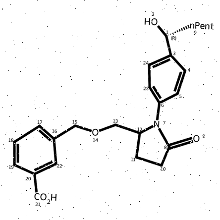 CCCCC[C@@H](O)c1ccc(N2C(=O)CCC2COCc2cccc(C(=O)O)c2)cc1